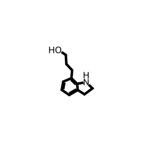 OCCCc1cccc2c1NCC2